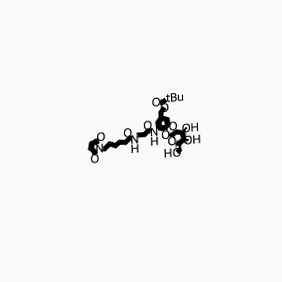 CC(C)(C)C(=O)OCc1ccc(O[C@@H]2O[C@H](CO)[C@H](O)[C@H](O)C2O)c(NC(=O)CCNC(=O)CCCCCN2C(=O)C=CC2=O)c1